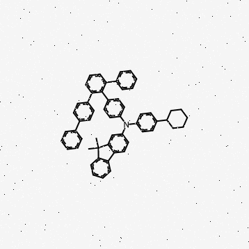 CC1(C)c2ccccc2-c2ccc(N(c3ccc(-c4c(-c5ccccc5)cccc4-c4ccc(-c5ccccc5)cc4)cc3)c3ccc(C4CCCCC4)cc3)cc21